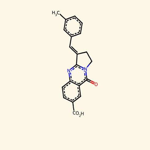 Cc1cccc(C=C2CCn3c2nc2ccc(C(=O)O)cc2c3=O)c1